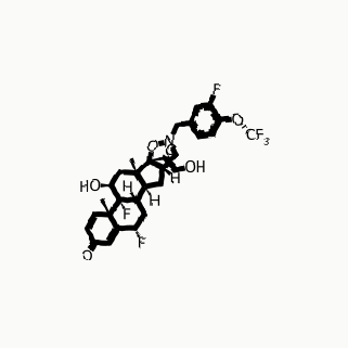 C[C@]12C=CC(=O)C=C1[C@@H](F)C[C@H]1[C@@H]3C[C@H]4CN(Cc5ccc(OC(F)(F)F)c(F)c5)O[C@@]4(C(=O)CO)[C@@]3(C)C[C@H](O)[C@@]12F